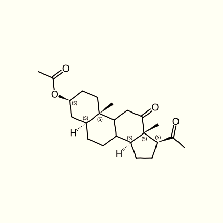 CC(=O)O[C@H]1CC[C@]2(C)C3CC(=O)[C@]4(C)[C@@H](C(C)=O)CC[C@H]4C3CC[C@H]2C1